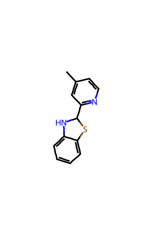 Cc1ccnc(C2Nc3ccccc3S2)c1